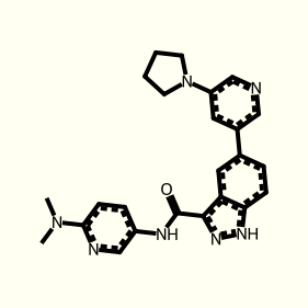 CN(C)c1ccc(NC(=O)c2n[nH]c3ccc(-c4cncc(N5CCCC5)c4)cc23)cn1